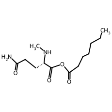 CCCCCCC(=O)OC(=O)[C@H](CCC(N)=O)NC